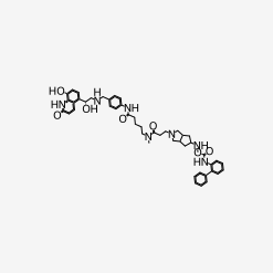 CN(CCCCC(=O)Nc1ccc(CNC[C@H](O)c2ccc(O)c3[nH]c(=O)ccc23)cc1)C(=O)CCN1CC2CC(NOC(=O)Nc3ccccc3-c3ccccc3)CC2C1